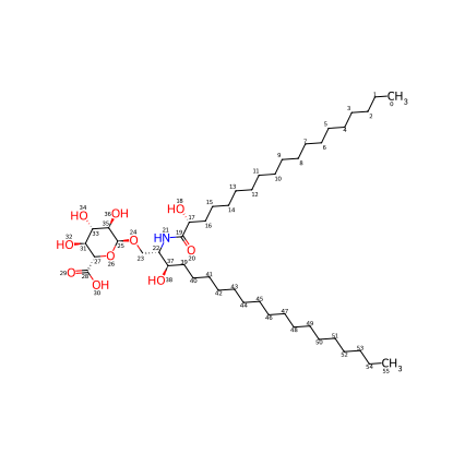 CCCCCCCCCCCCCCCCC[C@@H](O)C(=O)N[C@@H](CO[C@H]1O[C@H](C(=O)O)[C@@H](O)[C@H](O)[C@H]1O)[C@H](O)CCCCCCCCCCCCCCCCC